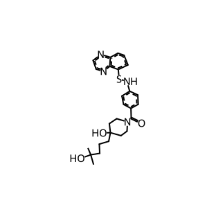 CC(C)(O)CCCC1(O)CCN(C(=O)c2ccc(NSc3cccc4nccnc34)cc2)CC1